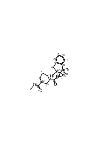 COC(=O)[C@H]1CCCC(C(=O)N2CC[C@@]3(C)c4ccccc4C[C@@H]2C3(C)C)C1